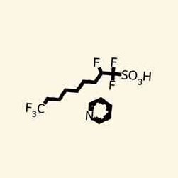 O=S(=O)(O)C(F)(F)C(F)CCCCCCC(F)(F)F.c1ccncc1